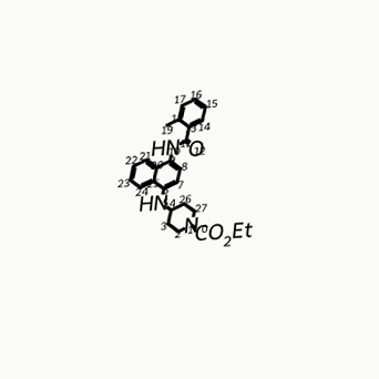 CCOC(=O)N1CCC(Nc2ccc(NC(=O)c3ccccc3C)c3ccccc23)CC1